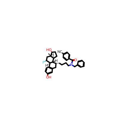 C[C@]12C[C@H](F)[C@@H]3c4ccc(O)cc4C[C@@H](CCCCN(Cc4ccccc4)C(=O)c4ccc(C#N)cc4)[C@H]3[C@@H]1CC[C@@H]2O